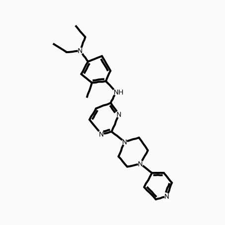 CCN(CC)c1ccc(Nc2ccnc(N3CCN(c4ccncc4)CC3)n2)c(C)c1